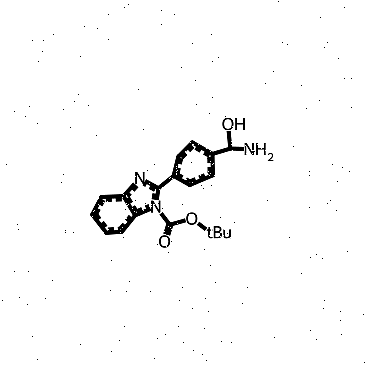 CC(C)(C)OC(=O)n1c(-c2ccc(C(N)O)cc2)nc2ccccc21